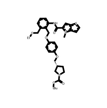 CCOCc1cccc(NC(=O)c2cc3sccc3n2C)c1COc1ccc(OC[C@@H]2CCN(C(=O)OC(C)(C)C)C2)cc1